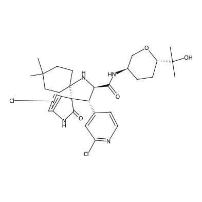 CC1(C)CCC2(CC1)N[C@@H](C(=O)N[C@@H]1CC[C@@H](C(C)(C)O)OC1)[C@H](c1ccnc(Cl)c1)[C@]21C(=O)Nc2cc(Cl)ccc21